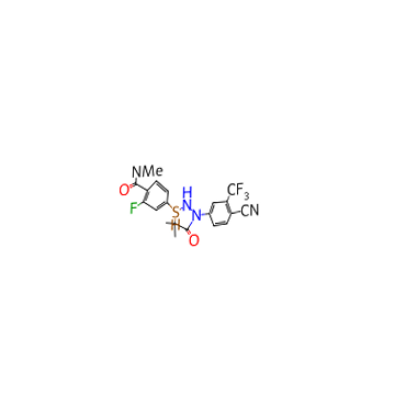 CNC(=O)c1ccc([SH]2NN(c3ccc(C#N)c(C(F)(F)F)c3)C(=O)C2(C)C)cc1F